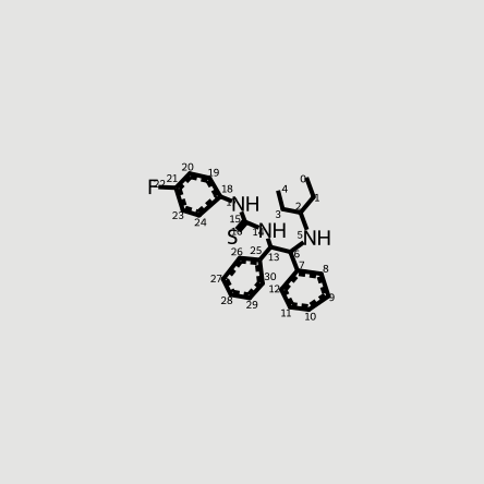 CCC(CC)NC(c1ccccc1)C(NC(=S)Nc1ccc(F)cc1)c1ccccc1